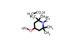 CC(=O)O.CCCOC1CC(C)(C)N(C)C(C)(C)C1